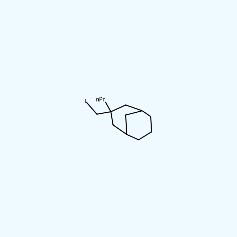 CCCC1(CI)CC2CCCC(C2)C1